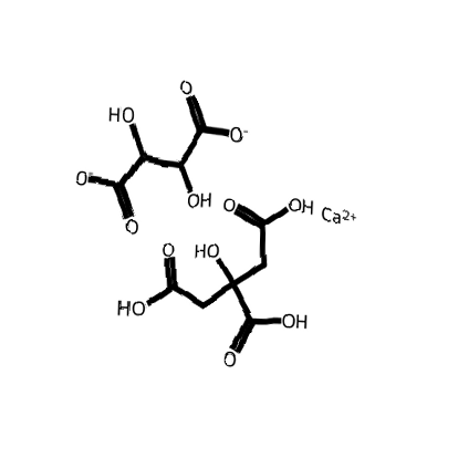 O=C(O)CC(O)(CC(=O)O)C(=O)O.O=C([O-])C(O)C(O)C(=O)[O-].[Ca+2]